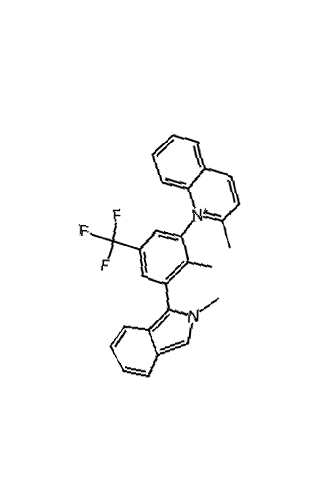 Cc1c(-c2c3ccccc3cn2C)cc(C(F)(F)F)cc1-[n+]1c(C)ccc2ccccc21